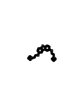 c1cc2sc3ccc(OCCN4CCC4)cc3c2cc1OCCN1CCC1